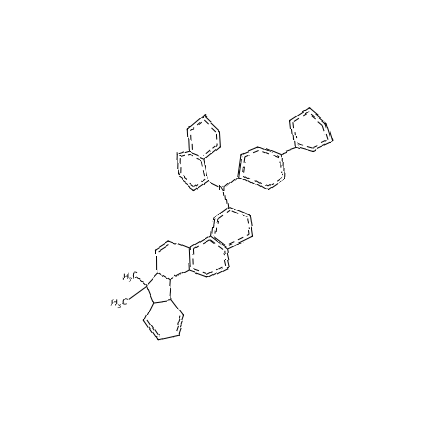 CC1(C)C2C=CC=CC2C2c3ccc4ccc(N(c5ccc(-c6ccccc6)cc5)c5cccc6ccccc56)cc4c3C=CC21